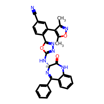 Cc1noc(C)c1-c1cc(C#N)ccc1-c1nnc(N[C@H]2N=C(c3ccccc3)c3ccccc3NC2=O)o1